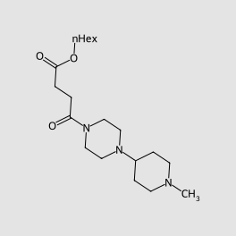 CCCCCCOC(=O)CCC(=O)N1CCN(C2CCN(C)CC2)CC1